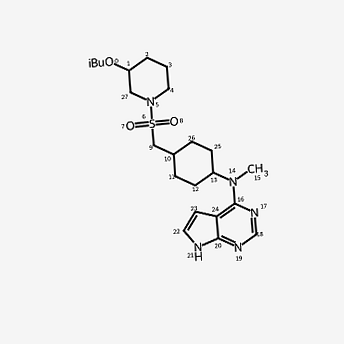 CC(C)COC1CCCN(S(=O)(=O)CC2CCC(N(C)c3ncnc4[nH]ccc34)CC2)C1